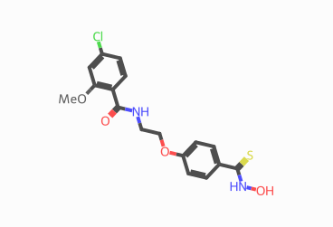 COc1cc(Cl)ccc1C(=O)NCCOc1ccc(C(=S)NO)cc1